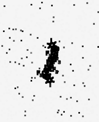 Cc1c(C)c(N(C)C(=O)C(C)(OC(F)(F)C(C)(OC(F)(F)C(F)(F)OC(C)(C(F)(F)F)C(F)(F)OC(C)(C(=O)N(C)c2c(C)c(C)c(I)c(C)c2C)C(F)(F)F)C(F)(F)F)C(F)(F)F)c(C)c(C)c1I